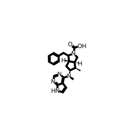 C[C@@H]1[C@@H]2CN(C(=O)O)C(Cc3ccccc3)[C@H]2C[C@@H]1N(C)c1ncnc2[nH]ccc12